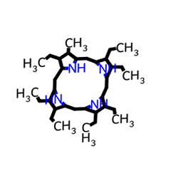 CCC1C2CC3NC(CC4NC(CC5NC(CC(N2)C1C)C(CC)C5CC)C(CC)C4CC)C(CC)C3CC